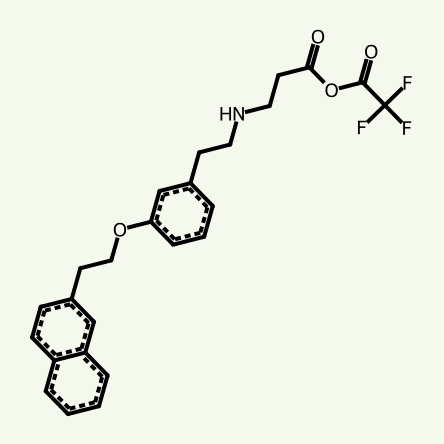 O=C(CCNCCc1cccc(OCCc2ccc3ccccc3c2)c1)OC(=O)C(F)(F)F